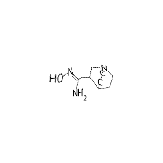 NC(=NO)C1CN2CCC1CC2